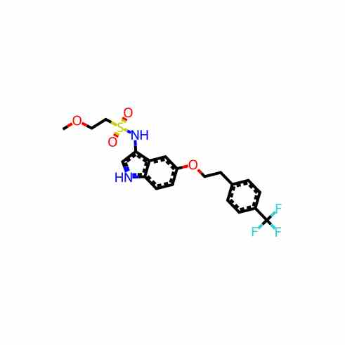 COCCS(=O)(=O)Nc1c[nH]c2ccc(OCCc3ccc(C(F)(F)F)cc3)cc12